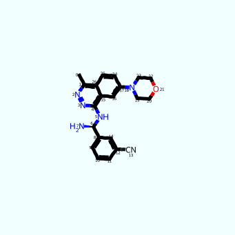 Cc1nnc(N[C@H](N)c2cccc(C#N)c2)c2cc(N3CCOCC3)ccc12